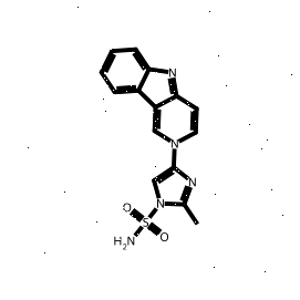 Cc1nc(-n2ccc3nc4ccccc4c-3c2)cn1S(N)(=O)=O